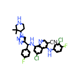 CC1(C)CNCCC1n1cc(C(Nc2cc(Cl)cc3c(Nc4ccc(F)c(Cl)c4)c(C#N)cnc23)c2ccc(F)cc2)nn1